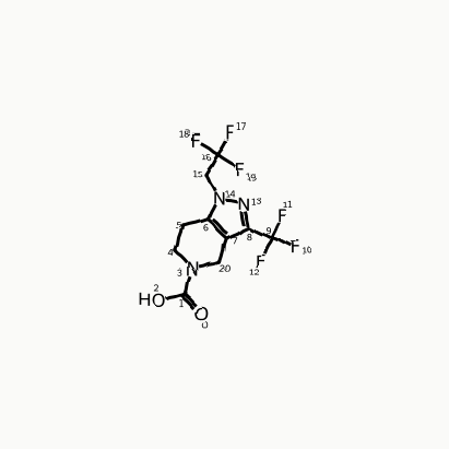 O=C(O)N1CCc2c(c(C(F)(F)F)nn2CC(F)(F)F)C1